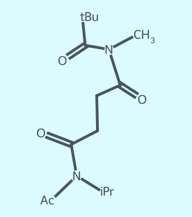 CC(=O)N(C(=O)CCC(=O)N(C)C(=O)C(C)(C)C)C(C)C